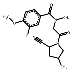 COc1ccc(C(=O)N(C)CC(=O)N2CC(C)CC2C#N)cc1F